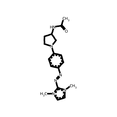 CC(=O)NC1CCN(c2ccc(N=Nc3n(C)cc[n+]3C)cc2)C1